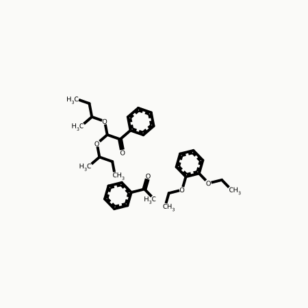 CC(=O)c1ccccc1.CCC(C)OC(OC(C)CC)C(=O)c1ccccc1.CCOc1ccccc1OCC